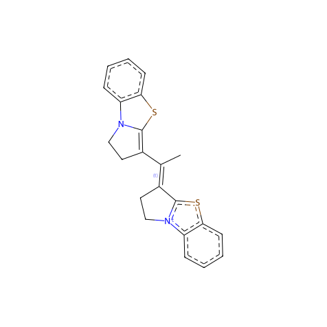 C/C(C1=C2Sc3ccccc3N2CC1)=C1/CC[n+]2c1sc1ccccc12